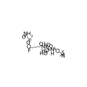 Cc1ncsc1-c1ccc([C@H](C)NC(=O)[C@@H]2C[C@@H](O)CN2C(=O)[C@@H](NC(=O)CCCCCc2cc(OC[C@@H](C)CCC(N)=O)ccc2F)C(C)(C)C)cc1